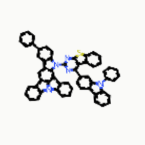 c1ccc(-c2ccc3c(c2)c2cc4c5ccccc5n5c6ccccc6c(c2n3-c2nc(-c3ccc6c7ccccc7n(-c7ccccc7)c6c3)c3c(n2)sc2ccccc23)c45)cc1